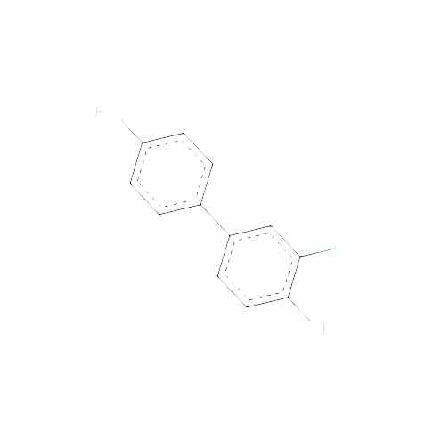 Oc1ccc(-c2ccc(Cl)c(F)c2)cc1